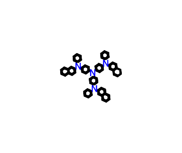 C1=Cc2cc(N(c3ccccc3)c3ccc(N(c4ccc(N(c5ccccc5)c5ccc6ccccc6c5)cc4)c4ccc(N(c5ccccc5)c5ccc6ccccc6c5)cc4)cc3)ccc2CC1